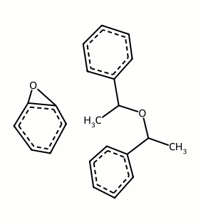 CC(OC(C)c1ccccc1)c1ccccc1.c1ccc2c(c1)O2